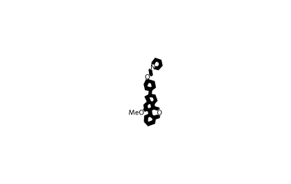 COc1cc2c(c3c1=c1ccccc1=COC3)CCC(c1ccc(OCCN3CCCCC3)cc1)C=2